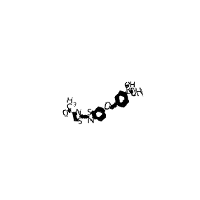 CC(=O)[C@H]1CSC(c2nc3ccc(OCc4ccc(B(O)O)cc4)cc3s2)=N1